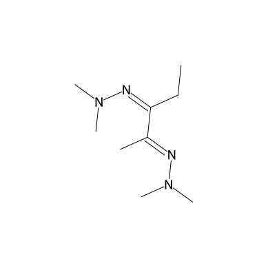 CCC(=NN(C)C)C(C)=NN(C)C